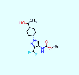 CC(O)[C@H]1CC[C@H](n2cc(NC(=O)OC(C)(C)C)c(C(F)F)n2)CC1